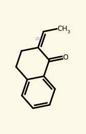 C/C=C1/CCc2ccccc2C1=O